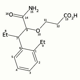 CCc1ccccc1C(CC)C(OCCC(=O)O)C(N)=O